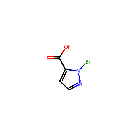 O=C(O)c1ccnn1Br